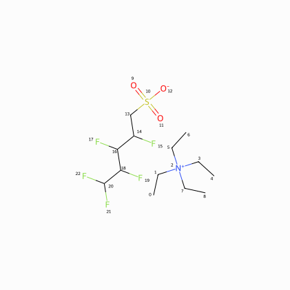 CC[N+](CC)(CC)CC.O=S(=O)([O-])CC(F)C(F)C(F)C(F)F